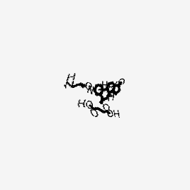 C=C1C[C@@H]2[C@H](CC[C@]3(C)C(=O)CC[C@@H]23)[C@@]2(C)CCC(=NOCCCNC)CC12.O=C(O)/C=C/C(=O)O